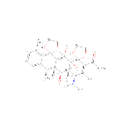 CC(=O)NC(=O)C1=C(OC(C)=O)[C@@H](N(C)C)[C@@H]2[C@@H](O)[C@H]3C(=C(O)[C@]2(O)C12OCCO2)C1(OCCO1)c1c(OC(C)=O)cccc1[C@@H]3C